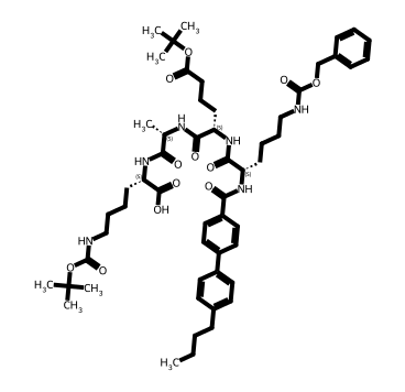 CCCCc1ccc(-c2ccc(C(=O)N[C@@H](CCCCNC(=O)OCc3ccccc3)C(=O)N[C@@H](CCCC(=O)OC(C)(C)C)C(=O)N[C@@H](C)C(=O)N[C@@H](CCCCNC(=O)OC(C)(C)C)C(=O)O)cc2)cc1